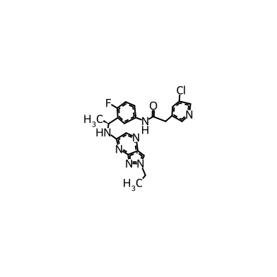 CCn1cc2ncc(N[C@@H](C)c3cc(NC(=O)Cc4cncc(Cl)c4)ccc3F)nc2n1